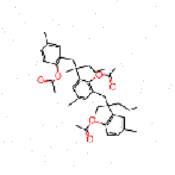 CCCC(C)(Cc1cc(C)ccc1OC(C)=O)c1cc(C)cc(CC(CC)(CCC)c2cc(C)ccc2OC(C)=O)c1OC(C)=O